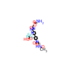 CC(=O)NC[C@H]1CN(c2ccc(-c3ccc(-c4noc(COC(=O)CN)n4)nc3)c(F)c2)C(=O)O1.O=C(O)C(F)(F)F